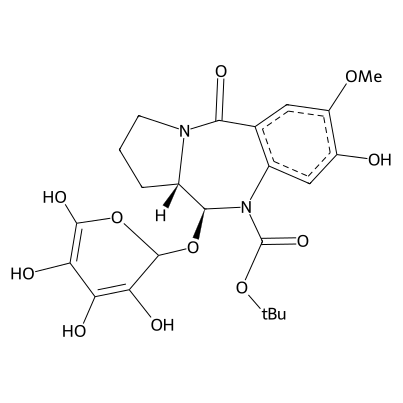 COc1cc2c(cc1O)N(C(=O)OC(C)(C)C)[C@@H](OC1OC(O)=C(O)C(O)=C1O)[C@@H]1CCCN1C2=O